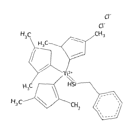 CC1=CC(C)[C]([Ti+2](=[SiH]Cc2ccccc2)([C]2=C(C)C=C(C)C2)[C]2=C(C)C=C(C)C2)=C1.[Cl-].[Cl-]